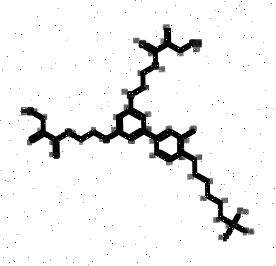 C=C(CO)C(=O)OCCOc1cc(OCCOC(=O)C(=C)CO)cc(-c2ccc(CCCCCCC(F)(F)F)c(C)c2)c1